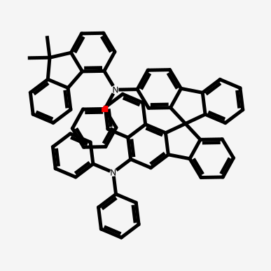 CC1(C)c2ccccc2-c2c(N(c3ccccc3)c3ccc4c(c3)C3(c5ccccc5-4)c4ccccc4-c4cc(N(c5ccccc5)c5ccccc5)c5ccccc5c43)cccc21